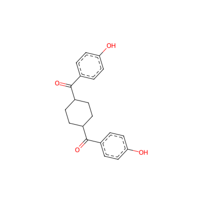 O=C(c1ccc(O)cc1)C1CCC(C(=O)c2ccc(O)cc2)CC1